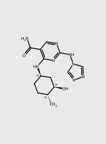 C[C@@H]1CC[C@@H](Nc2nc(Nn3cnnc3)ncc2C(N)=O)C[C@H]1O